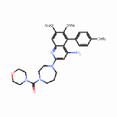 COc1ccc(-c2c(OC)c(OC)cc3nc(N4CCCN(C(=O)N5CCOCC5)CC4)cc(N)c23)cc1